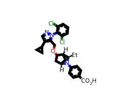 CC[C@@H]1[C@@H]2C[C@@H](CC2OCc2c(C3CC3)cnn2-c2c(Cl)cccc2Cl)N1c1ccc(C(=O)O)cc1